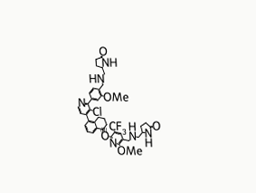 COc1cc(-c2nccc(-c3cccc4c3CCC[C@H]4Oc3nc(OC)c(CNCC4CCC(=O)N4)cc3C(F)(F)F)c2Cl)ccc1CNCC1CCC(=O)N1